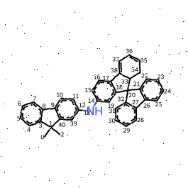 CC1(C)c2ccccc2-c2ccc(Nc3ccc4c(c3)C3(c5ccccc5-c5ccccc53)C3CC=CC=C43)cc21